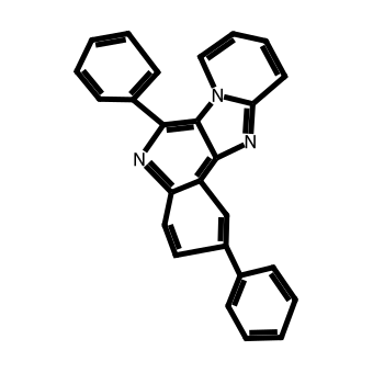 c1ccc(-c2ccc3nc(-c4ccccc4)c4c(nc5ccccn54)c3c2)cc1